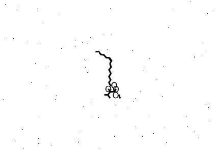 CCCCC/C=C\CCCCCCCC(=O)OC(C(=O)OCC)C(C)C